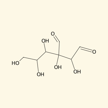 O=CC(O)C(O)(C=O)C(O)C(O)CO